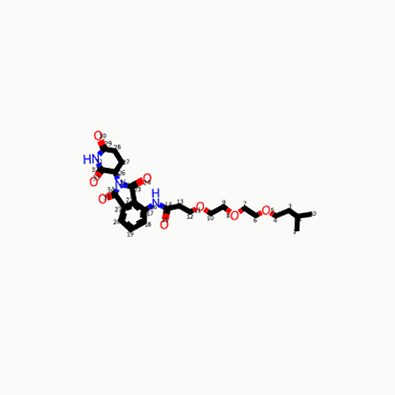 CC(C)CCOCCOCCOCCC(=O)Nc1cccc2c1C(=O)N(C1CCC(=O)NC1=O)C2=O